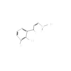 Cc1cccc(C(C)/C=C\N(C)C)c1C